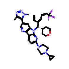 C=C/C(=C\C=C/C(I)(I)I)[C@H](C1CCOCC1)n1c2cc(-c3c(C)nnn3C)cnc2c2ccc(N3CCN(C4CC4)CC3)nc21